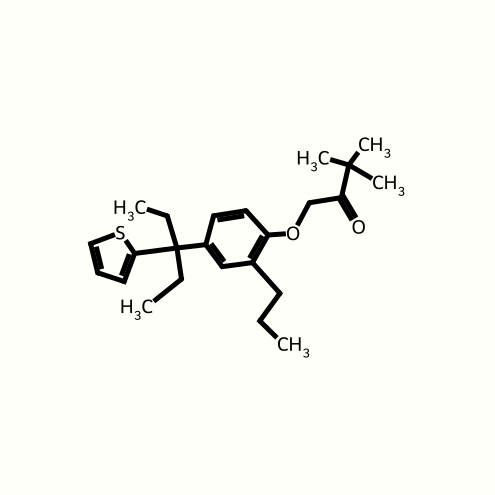 CCCc1cc(C(CC)(CC)c2cccs2)ccc1OCC(=O)C(C)(C)C